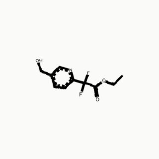 CCOC(=O)C(F)(F)c1ccc(CO)cn1